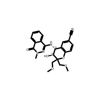 COCC1(COC)Oc2ccc(C#N)cc2[C@@H](Nc2nn(C)c(=O)c3ccccc23)[C@@H]1O